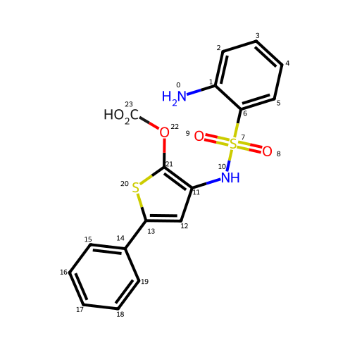 Nc1ccccc1S(=O)(=O)Nc1cc(-c2ccccc2)sc1OC(=O)O